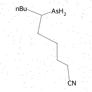 CCCCC([AsH2])CCCCC#N